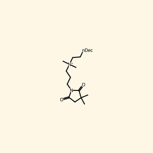 CCCCCCCCCCCC[N+](C)(C)CCCN1C(=O)CC(C)(C)C1=O